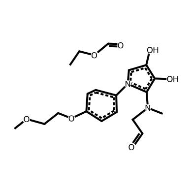 CCOC=O.COCCOc1ccc(-n2cc(O)c(O)c2N(C)CC=O)cc1